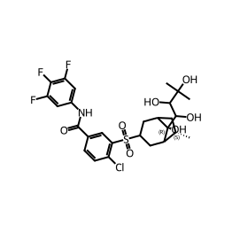 C[C@H]1CC2CC(S(=O)(=O)c3cc(C(=O)Nc4cc(F)c(F)c(F)c4)ccc3Cl)CC1[C@@]2(O)C(O)C(O)C(C)(C)O